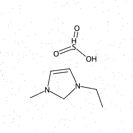 CCN1C=CN(C)C1.O=[SH](=O)O